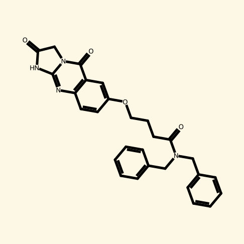 O=C1Cn2c(nc3ccc(OCCCC(=O)N(Cc4ccccc4)Cc4ccccc4)cc3c2=O)N1